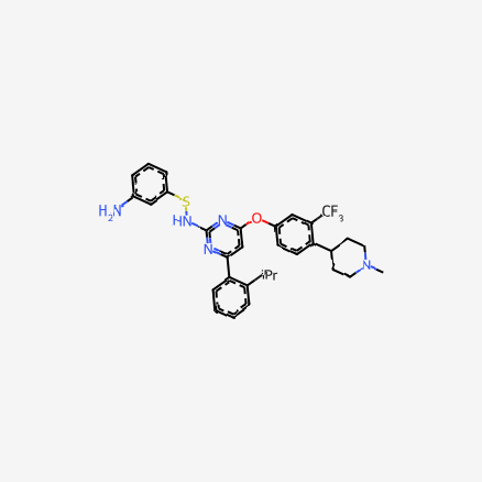 CC(C)c1ccccc1-c1cc(Oc2ccc(C3CCN(C)CC3)c(C(F)(F)F)c2)nc(NSc2cccc(N)c2)n1